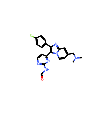 CN(C)Cc1ccn2c(-c3ccnc(NC=O)n3)c(-c3ccc(F)cc3)nc2c1